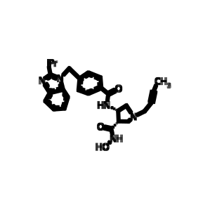 CC#CCN1C[C@H](C(=O)NO)[C@H](NC(=O)c2ccc(Cn3c(C(C)C)nc4ccccc43)cc2)C1